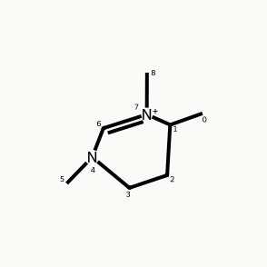 CC1CCN(C)C=[N+]1C